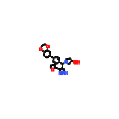 OC1CCN(C(c2ccc(-c3ccc4c(c3)OCCO4)cc2)c2c[nH]nc2-c2ccco2)C1